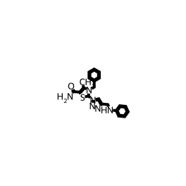 CC1=C(C(N)=O)SC(n2cc(CNc3ccccc3)nn2)N1Cc1ccccc1